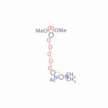 COC(=O)c1ccc(OCCOCCOCCOCCOc2ccc3c(c2)Sc2cc(N(C)C)ccc2N3C(C)=O)cc1C(=O)OC